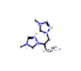 CCCCCCCCCCC(CN1CN(C)C=N1)N1CN(C)C=N1.I.I